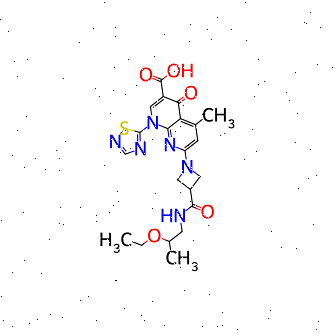 CCOC(C)CNC(=O)C1CN(c2cc(C)c3c(=O)c(C(=O)O)cn(-c4ncns4)c3n2)C1